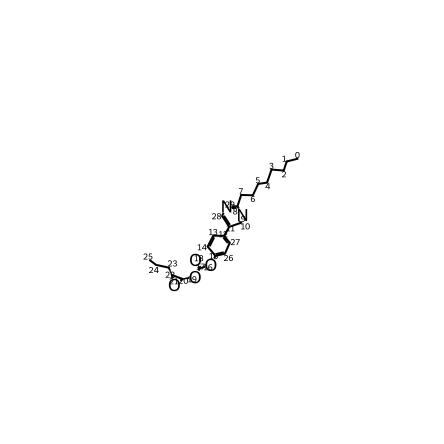 CCCCCCCCc1ncc(-c2ccc(OC(=O)O[C@H]3O[C@H]3CCC)cc2)cn1